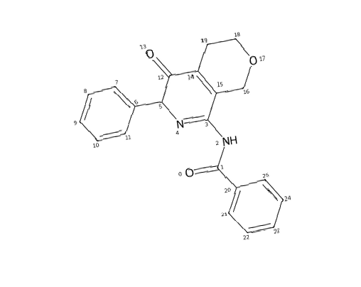 O=C(NC1=NC(c2ccccc2)C(=O)C2=C1COCC2)c1ccccc1